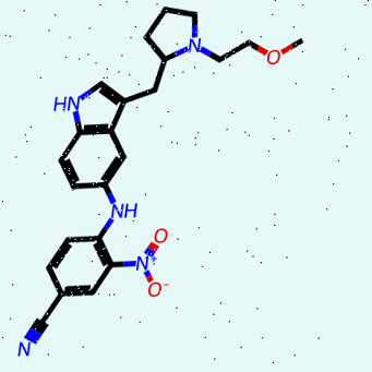 COCCN1CCCC1Cc1c[nH]c2ccc(Nc3ccc(C#N)cc3[N+](=O)[O-])cc12